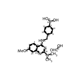 COc1ccc2c(NCc3ccc(B(O)O)cc3)nc(N(C)C)nc2c1.O=CO